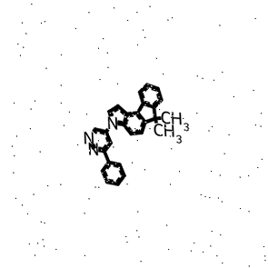 CC1(C)c2ccccc2-c2c1ccc1c2ccn1-c1cnnc(-c2ccccc2)c1